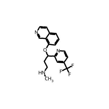 CNCCC(Oc1cccc2ccncc12)c1cc(C(F)(F)F)ccn1